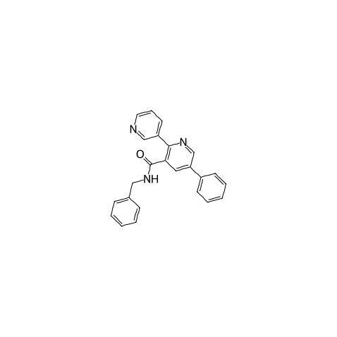 O=C(NCc1ccccc1)c1cc(-c2ccccc2)cnc1-c1cccnc1